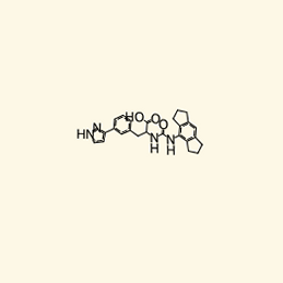 O=C(Nc1c2c(cc3c1CCC3)CCC2)NC(Cc1cccc(-c2cc[nH]n2)c1)C(=O)O